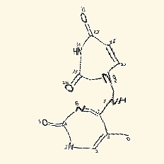 CC1=C[N]C(=O)N=C1Nn1ccc(=O)[nH]c1=O